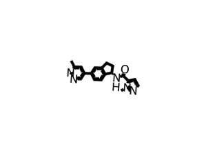 Cc1cc(-c2ccc3c(c2)CC[C@H]3NC(=O)c2ccnn2C)cnn1